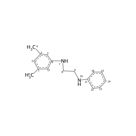 Cc1cc(C)cc(NCCNc2ccccc2)c1